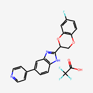 Fc1ccc2c(c1)OC(c1nc3cc(-c4ccncc4)ccc3[nH]1)CO2.O=C(O)C(F)(F)F